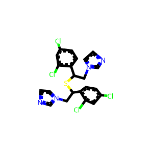 Clc1ccc(C(Cn2ccnc2)SC(Cn2ccnc2)c2ccc(Cl)cc2Cl)c(Cl)c1